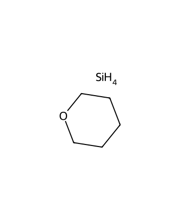 C1CCOCC1.[SiH4]